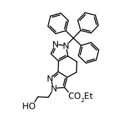 CCOC(=O)c1c2c(nn1CCO)-c1cnn(C(c3ccccc3)(c3ccccc3)c3ccccc3)c1CC2